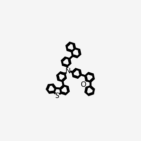 c1cc(-c2cccc3ccccc23)cc(N(c2ccc(-c3cccc4c3oc3ccccc34)cc2)c2cccc(-c3cccc4sc5ccccc5c34)c2)c1